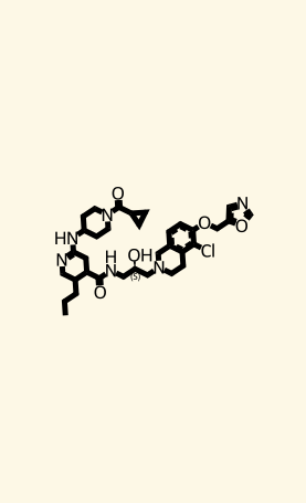 CCCC1CN=C(NC2CCN(C(=O)C3CC3)CC2)CC1C(=O)NC[C@H](O)CN1CCc2c(ccc(OCc3cnco3)c2Cl)C1